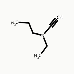 C#CN(CC)CCC